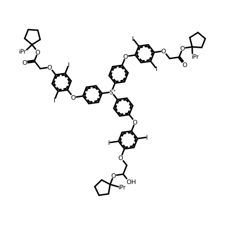 CC(C)C1(OC(=O)COc2cc(I)c(Oc3ccc([S+](c4ccc(Oc5cc(I)c(OCC(=O)OC6(C(C)C)CCCC6)cc5I)cc4)c4ccc(Oc5cc(I)c(OCC(O)OC6(C(C)C)CCCC6)cc5I)cc4)cc3)cc2I)CCCC1